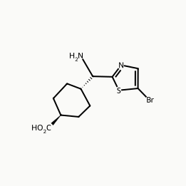 NC(c1ncc(Br)s1)[C@H]1CC[C@H](C(=O)O)CC1